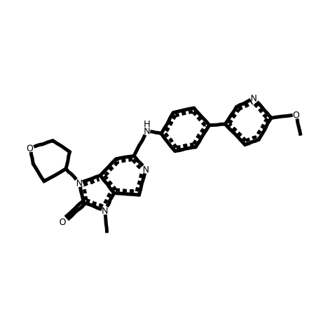 COc1ccc(-c2ccc(Nc3cc4c(cn3)n(C)c(=O)n4C3CCOCC3)cc2)cn1